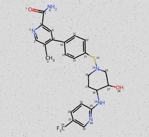 Cc1cnc(C(N)=O)cc1-c1ccc(SN2CCC(Nc3ccc(C(F)(F)F)cn3)C(O)C2)cc1